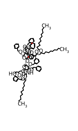 CCCCCCCCCCCC(=O)O[C@H](CCCCCCCCCCC)CC(=O)N[C@@H]1[C@H](OC[C@H]2O[C@H](OCC(O)CO)[C@@H](NC(=O)C[C@@H](CCCCCCCCCCC)OCc3ccccc3)[C@@H](OCc3ccccc3)[C@@H]2OCc2ccccc2)O[C@H](COCc2ccccc2)[C@@H](OP(=O)(OCc2ccccc2)OCc2ccccc2)[C@@H]1OCc1ccccc1